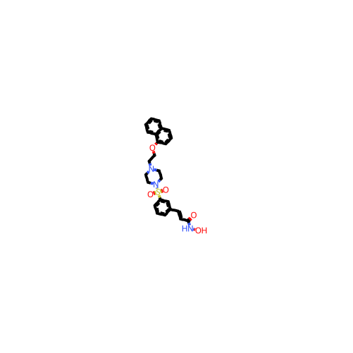 O=C(C=Cc1cccc(S(=O)(=O)N2CCN(CCOc3cccc4ccccc34)CC2)c1)NO